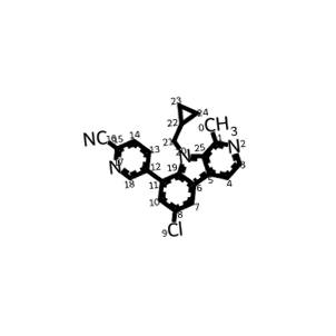 Cc1nccc2c3cc(Cl)cc(-c4ccc(C#N)nc4)c3n(CC3CC3)c12